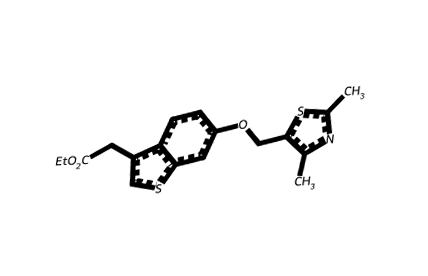 CCOC(=O)Cc1csc2cc(OCc3sc(C)nc3C)ccc12